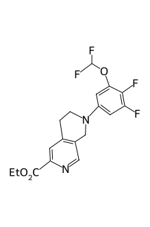 CCOC(=O)c1cc2c(cn1)CN(c1cc(F)c(F)c(OC(F)F)c1)CC2